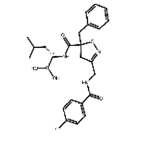 CC(C)C[C@H](NC(=O)C1(Cc2ccccc2)CC(CNC(=O)c2ccc(Cl)cc2)=NO1)B(O)O